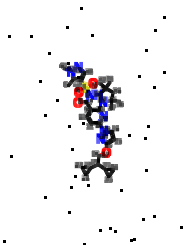 Cc1c(S(=O)(=O)NC(=O)c2ccc(-n3ccc(OCC(C4CC4)C4CC4)n3)nc2N2CC(C)(C)CC2(C)C)cnn1C